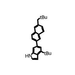 CC(C)(C)Cc1ccc2cc(-c3cc(C(C)(C)C)c4cc[nH]c4c3)ccc2c1